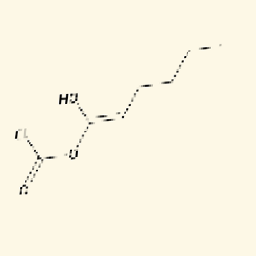 CCCC/C=C(\O)OC(=O)Cl